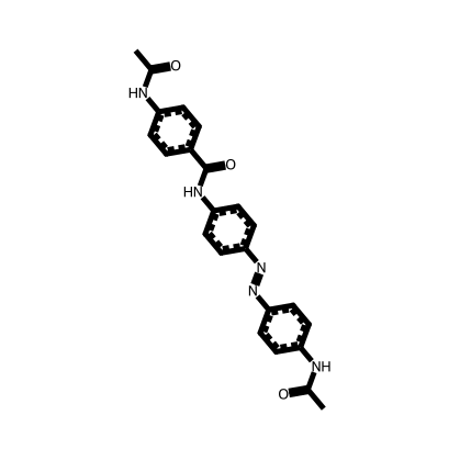 CC(=O)Nc1ccc(N=Nc2ccc(NC(=O)c3ccc(NC(C)=O)cc3)cc2)cc1